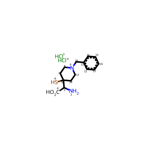 Cl.Cl.NC(C(=O)O)C1(S)CCN(Cc2ccccc2)CC1